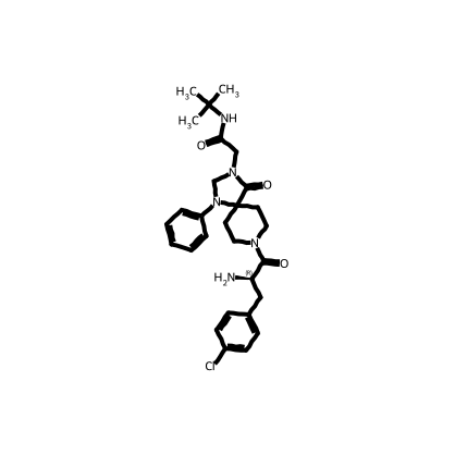 CC(C)(C)NC(=O)CN1CN(c2ccccc2)C2(CCN(C(=O)[C@H](N)Cc3ccc(Cl)cc3)CC2)C1=O